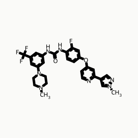 CN1CCN(c2cc(NC(=O)Nc3ccc(Oc4ccnc(-c5cnn(C)c5)c4)cc3F)cc(C(F)(F)F)c2)CC1